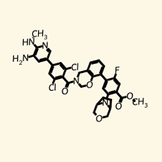 CNc1ncc(-c2cc(Cl)c(C(=O)N3COc4c(cccc4-c4cc(N5C6CCC5COC6)c(C(=O)OC)cc4F)C3)c(Cl)c2)cc1N